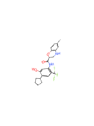 Cc1ccc2c(c1)NC[C@@H](C(=O)Nc1cc(O)c(C3CCCC3)cc1C(F)(F)F)O2